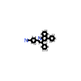 N#Cc1ccc(-c2cc(-c3ccccc3)c3cc(-c4ccccc4)c4ccccc4c3n2)cc1